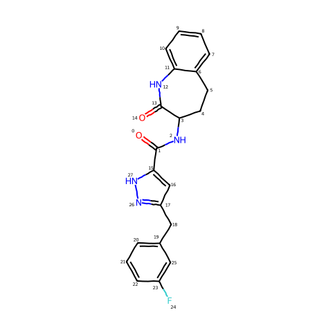 O=C(NC1CCc2ccccc2NC1=O)c1cc(Cc2cccc(F)c2)n[nH]1